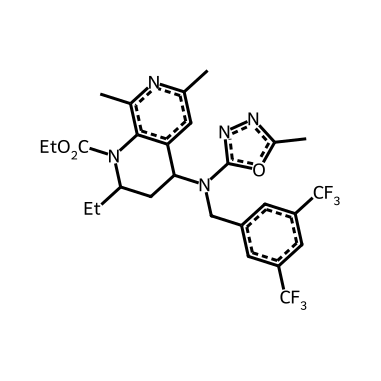 CCOC(=O)N1c2c(cc(C)nc2C)C(N(Cc2cc(C(F)(F)F)cc(C(F)(F)F)c2)c2nnc(C)o2)CC1CC